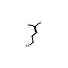 SCCC=C(Br)Br